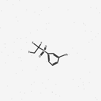 CCCc1cccc(S(=O)(=O)C(F)(F)CF)c1